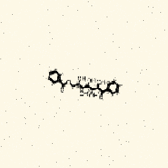 O=C(OC[C@@H](O)[C@@H](O)[C@H](O)[C@H](O)C(O)C(=O)c1ccccc1)c1ccccc1